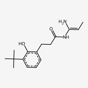 CC=C(N)NC(=O)CCc1cccc(C(C)(C)C)c1O